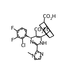 CCOC(=O)C1=C(C23C4C5C2C2C3C4C52C(=O)O)NC(c2nccn2C)=N[C@H]1c1ccc(F)c(F)c1Cl